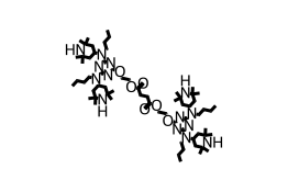 CCCCN(c1nc(OCCOC(=O)CCC(=O)OCCOc2nc(N(CCCC)C3CC(C)(C)NC(C)(C)C3)nc(N(CCCC)C3CC(C)(C)NC(C)(C)C3)n2)nc(N(CCCC)C2CC(C)(C)NC(C)(C)C2)n1)C1CC(C)(C)NC(C)(C)C1